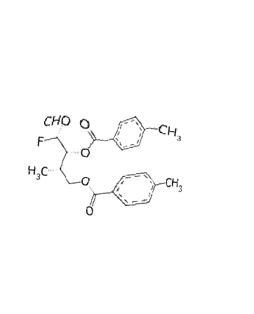 Cc1ccc(C(=O)OC[C@H](C)[C@@H](OC(=O)c2ccc(C)cc2)[C@H](F)C=O)cc1